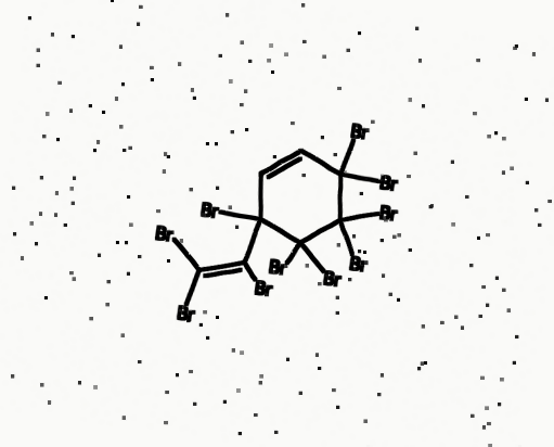 BrC(Br)=C(Br)C1(Br)C=CC(Br)(Br)C(Br)(Br)C1(Br)Br